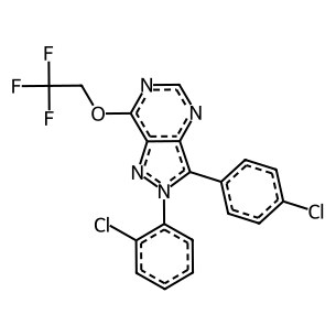 FC(F)(F)COc1ncnc2c(-c3ccc(Cl)cc3)n(-c3ccccc3Cl)nc12